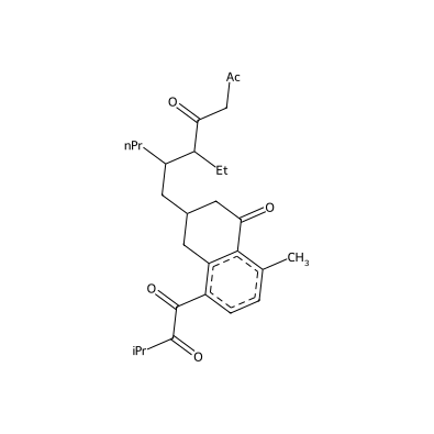 CCCC(CC1CC(=O)c2c(C)ccc(C(=O)C(=O)C(C)C)c2C1)C(CC)C(=O)CC(C)=O